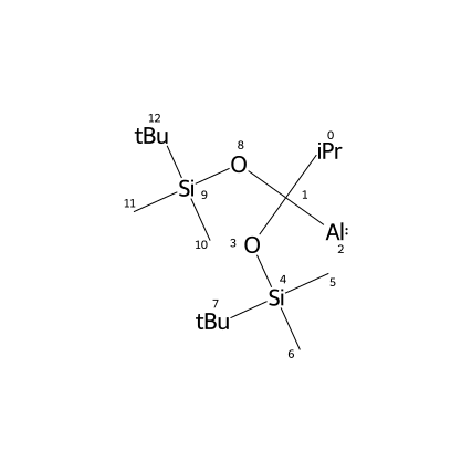 CC(C)[C]([Al])(O[Si](C)(C)C(C)(C)C)O[Si](C)(C)C(C)(C)C